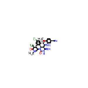 COc1ccc(C#N)cc1N/C(=C1\C(=N)NC(=O)N(c2cc(Cl)c(=O)n(C)c2)C1c1ccc(Cl)cc1C)C(C)C